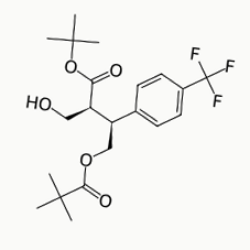 CC(C)(C)OC(=O)[C@H](CO)[C@H](COC(=O)C(C)(C)C)c1ccc(C(F)(F)F)cc1